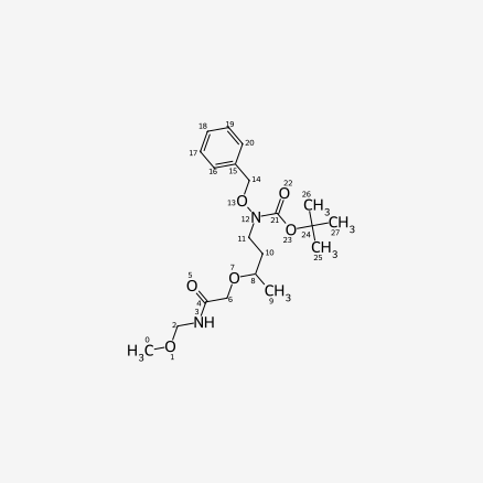 COCNC(=O)COC(C)CCN(OCc1ccccc1)C(=O)OC(C)(C)C